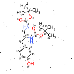 CC(C)(C)OC(=O)NC[C@H](Cc1ccc(O)cc1)NC(=O)OC(C)(C)C